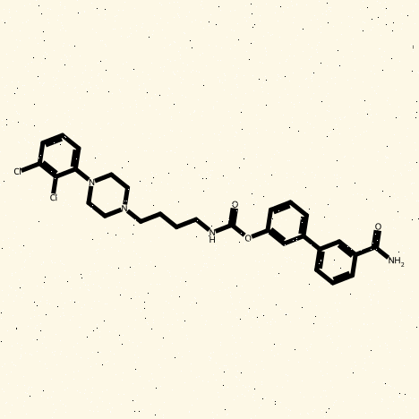 NC(=O)c1cccc(-c2cccc(OC(=O)NCCCCN3CCN(c4cccc(Cl)c4Cl)CC3)c2)c1